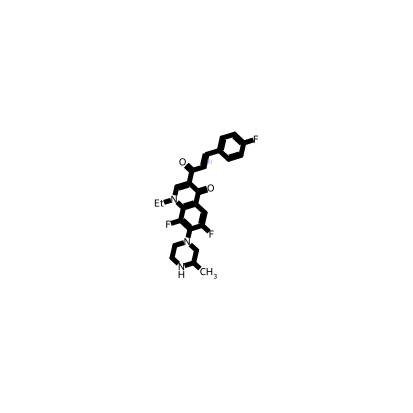 CCn1cc(C(=O)/C=C/c2ccc(F)cc2)c(=O)c2cc(F)c(N3CCNC(C)C3)c(F)c21